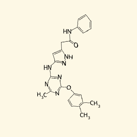 Cc1nc(Nc2cc(CC(=O)Nc3ccccc3)[nH]n2)nc(Oc2ccc(C)c(C)c2)n1